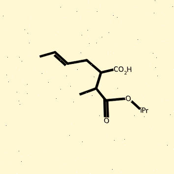 CC=CCC(C(=O)O)C(C)C(=O)OC(C)C